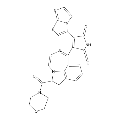 O=C1NC(=O)C(c2csc3nccn23)=C1C1=NC=CN2c3c(cccc31)CC2C(=O)N1CCOCC1